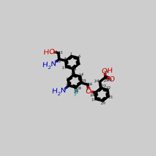 Nc1cc(-c2cccc(C(N)CO)c2)cc(COc2ccccc2CC(=O)O)c1F